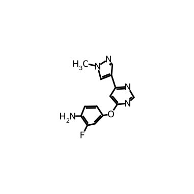 Cn1cc(-c2cc(Oc3ccc(N)c(F)c3)ncn2)cn1